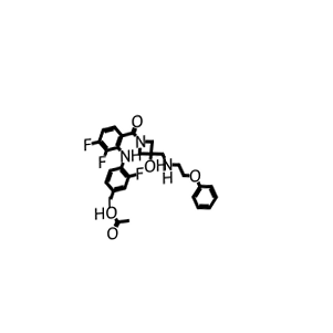 CC(=O)O.O=C(c1ccc(F)c(F)c1Nc1ccc(I)cc1F)N1CC(O)(CNCCOc2ccccc2)C1